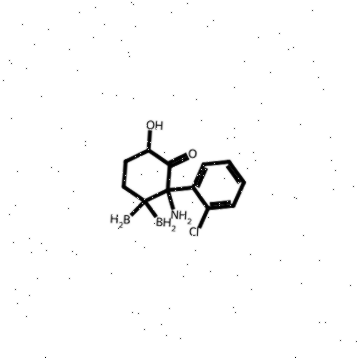 BC1(B)CCC(O)C(=O)C1(N)c1ccccc1Cl